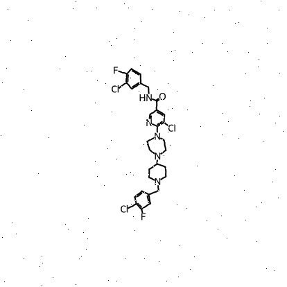 O=C(NCc1ccc(F)c(Cl)c1)c1cnc(N2CCN(C3CCN(Cc4ccc(Cl)c(F)c4)CC3)CC2)c(Cl)c1